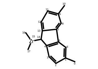 Cc1ccc2c(c1)-c1cc(C)ccc1[CH]2[Zr]([CH3])[CH3]